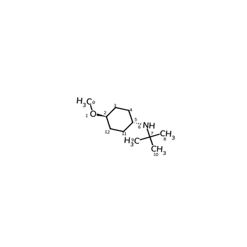 CO[C@H]1CC[C@H](NC(C)(C)C)CC1